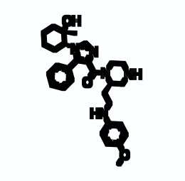 COc1ccc(NCC[C@@H]2CNCCN2C(=O)c2ncn([C@@H]3CCCC[C@]3(C)O)c2-c2ccccc2)cc1